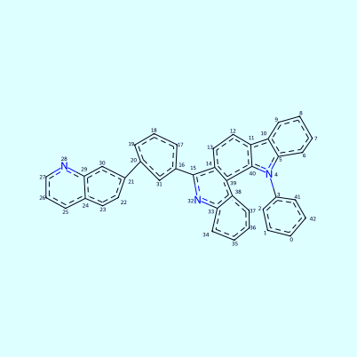 c1ccc(-n2c3ccccc3c3ccc4c(-c5cccc(-c6ccc7cccnc7c6)c5)nc5ccccc5c4c32)cc1